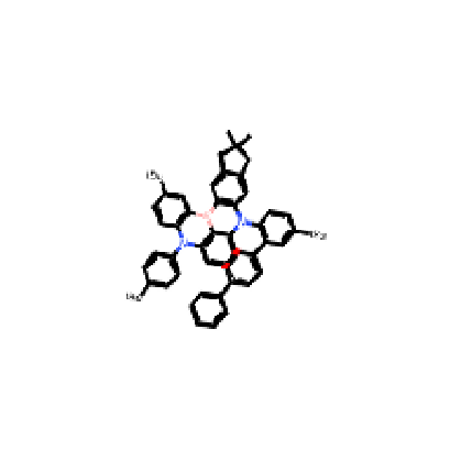 CC1(C)Cc2cc3c(cc2C1)N(c1ccc(C(C)(C)C)cc1-c1ccc(-c2ccccc2)cc1)c1cc(C(C)(C)C)cc2c1B3c1cc(C(C)(C)C)ccc1N2c1ccc(C(C)(C)C)cc1